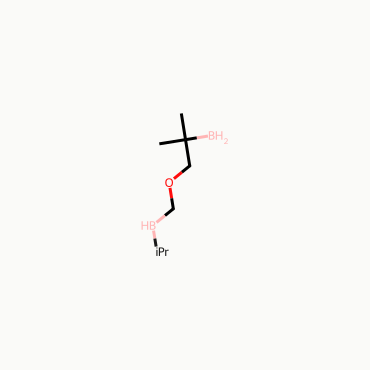 BC(C)(C)COCBC(C)C